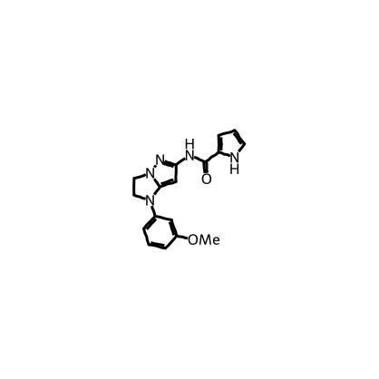 COc1cccc(N2CCn3nc(NC(=O)c4ccc[nH]4)cc32)c1